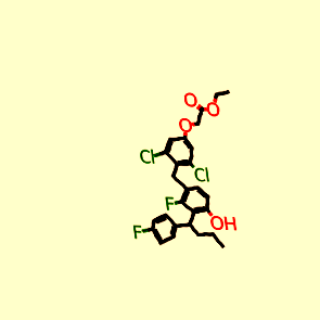 CCCC(c1ccc(F)cc1)c1c(O)ccc(Cc2c(Cl)cc(OCC(=O)OCC)cc2Cl)c1F